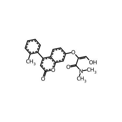 Cc1ccccc1-c1cc(=O)oc2cc(OC(=CO)C(=O)N(C)C)ccc12